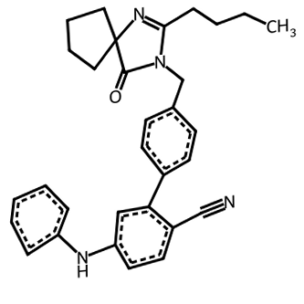 CCCCC1=NC2(CCCC2)C(=O)N1Cc1ccc(-c2cc(Nc3ccccc3)ccc2C#N)cc1